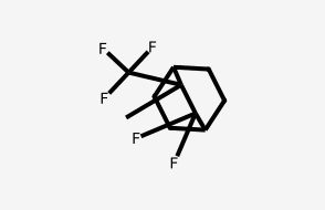 CC1(C(F)(F)F)C2CCC(CC2)C1(F)F